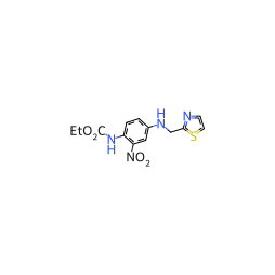 CCOC(=O)Nc1ccc(NCc2nccs2)cc1[N+](=O)[O-]